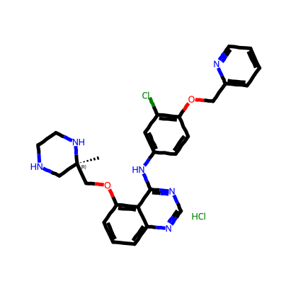 C[C@]1(COc2cccc3ncnc(Nc4ccc(OCc5ccccn5)c(Cl)c4)c23)CNCCN1.Cl